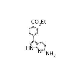 CCOC(=O)c1ccc(-c2c[nH]c3nc(N)ccc23)cc1